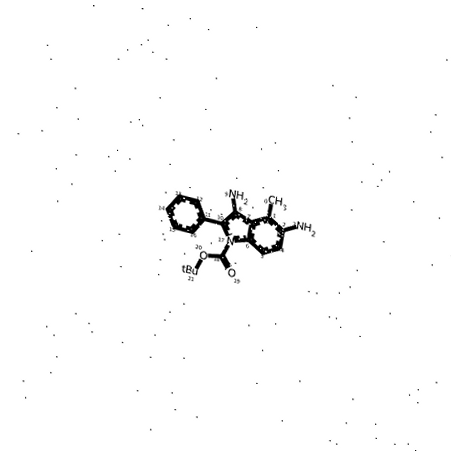 Cc1c(N)ccc2c1c(N)c(-c1ccccc1)n2C(=O)OC(C)(C)C